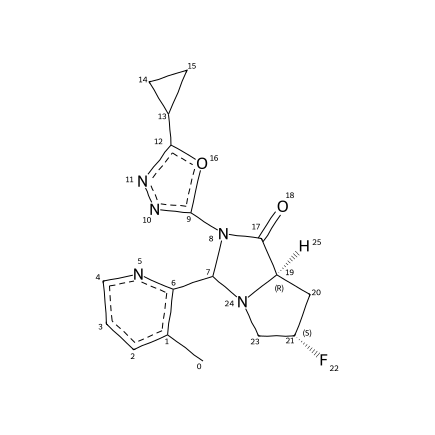 Cc1cccnc1C1N(c2nnc(C3CC3)o2)C(=O)[C@H]2C[C@H](F)CN12